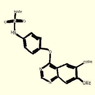 CNS(=O)(=O)Nc1ccc(Oc2ncnc3cc(OC)c(OC)cc23)cc1